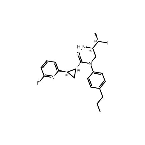 CCCc1ccc(N(C[C@@H](N)[C@@H](C)I)C(=O)[C@@H]2C[C@H]2c2cccc(F)n2)cc1